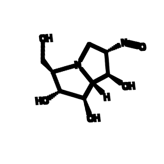 O=N[C@H]1CN2[C@@H]([C@@H](O)[C@H](O)[C@H]2CO)[C@@H]1O